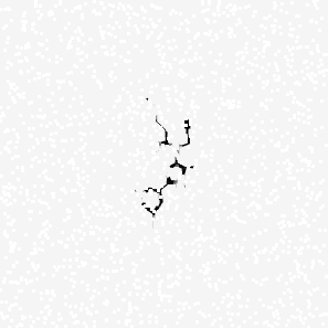 C#CCN(C(=O)CCSC)c1sc(-c2cncc(F)c2)nc1C